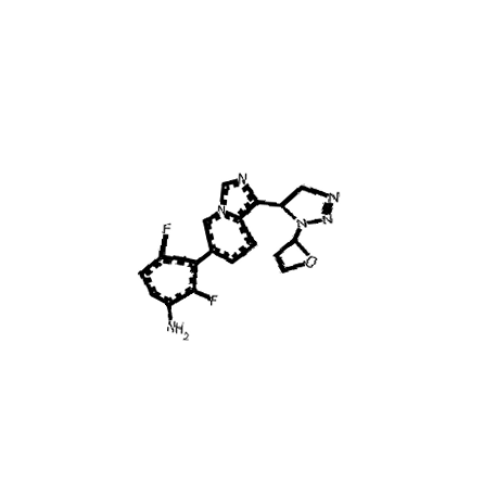 Nc1ccc(F)c(-c2ccc3c(C4CN=NN4C4CCO4)ncn3c2)c1F